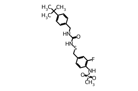 CC(C)(C)c1ccc(CNC(=O)NSCc2ccc(NS(C)(=O)=O)c(F)c2)cc1